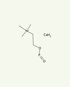 C[N+](C)(C)CCOP=O.[CaH2]